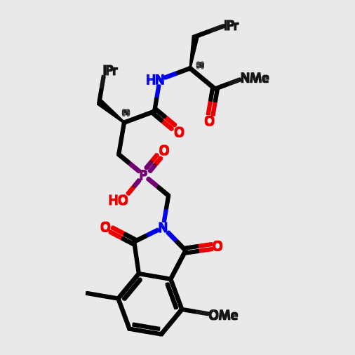 CNC(=O)[C@H](CC(C)C)NC(=O)[C@H](CC(C)C)CP(=O)(O)CN1C(=O)c2c(C)ccc(OC)c2C1=O